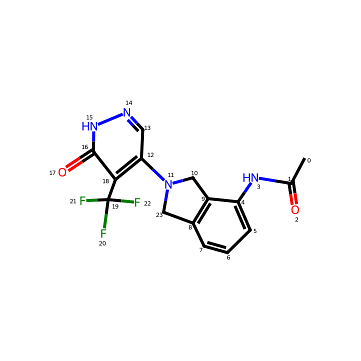 CC(=O)Nc1cccc2c1CN(c1cn[nH]c(=O)c1C(F)(F)F)C2